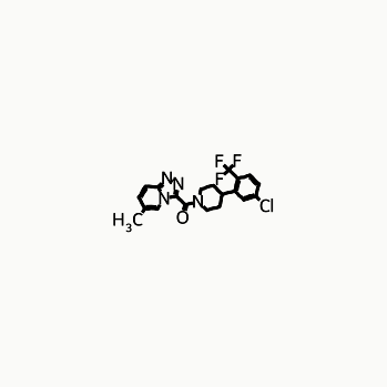 Cc1ccc2nnc(C(=O)N3CCC(c4cc(Cl)ccc4C(F)(F)F)CC3)n2c1